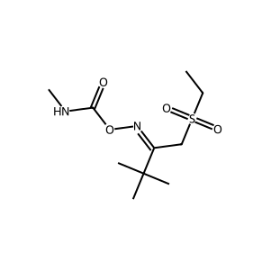 CCS(=O)(=O)CC(=NOC(=O)NC)C(C)(C)C